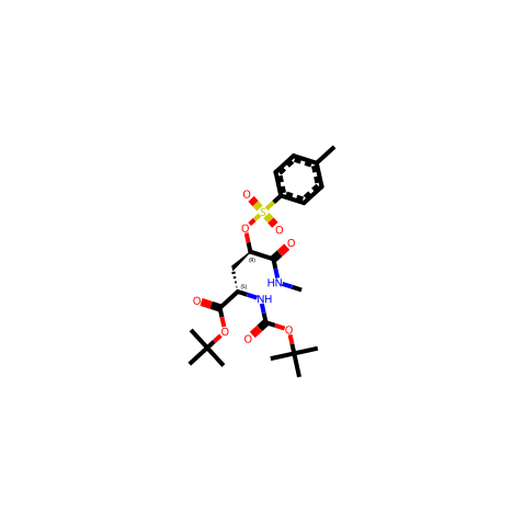 CNC(=O)[C@@H](C[C@H](NC(=O)OC(C)(C)C)C(=O)OC(C)(C)C)OS(=O)(=O)c1ccc(C)cc1